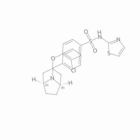 O=S(=O)(Nc1nccs1)c1ccc(OC2C[C@H]3CC[C@@H](C2)N3Cc2ccccc2)c(Cl)c1